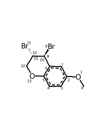 COc1ccc2c(c1)[C@H](Br)[C@@H](Br)CO2